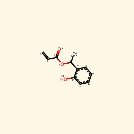 C=CC(=O)OC(CC)c1ccccc1O